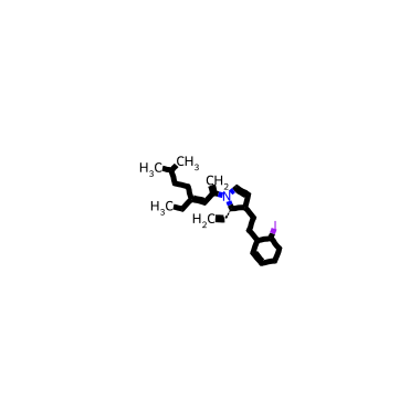 C=C[C@H]1C(CCC2C=CCCC2I)C=CN1C(=C)/C=C(/CC)CCC(C)C